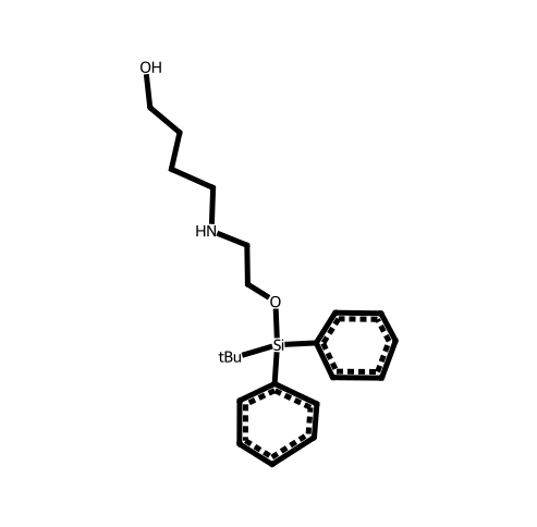 CC(C)(C)[Si](OCCNCCCCO)(c1ccccc1)c1ccccc1